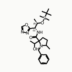 CC1CCC(C(=O)N[C@H](c2nnco2)[C@@H](C)O[Si](C)(C)C(C)(C)C)(C(C)O)N1Cc1ccccc1